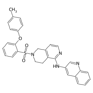 Cc1ccc(Oc2ccccc2S(=O)(=O)N2CCc3c(ccnc3Nc3cnc4ccccc4c3)C2)cc1